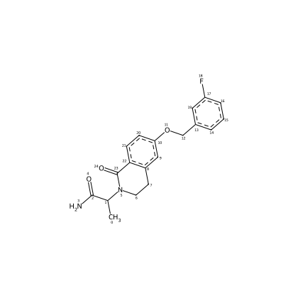 CC(C(N)=O)N1CCc2cc(OCc3cccc(F)c3)ccc2C1=O